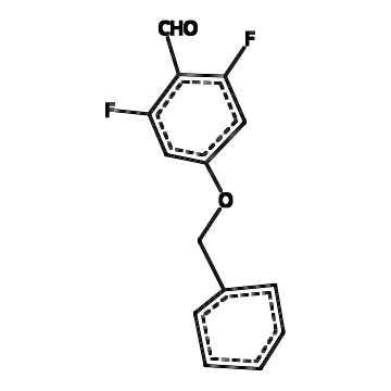 O=Cc1c(F)cc(OCc2ccccc2)cc1F